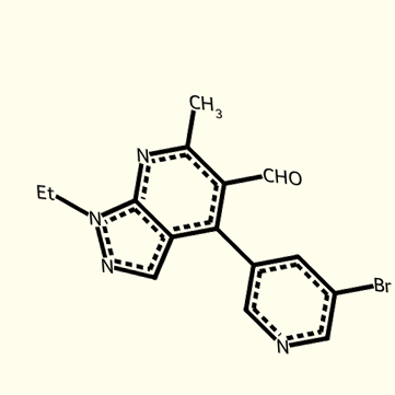 CCn1ncc2c(-c3cncc(Br)c3)c(C=O)c(C)nc21